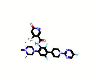 C[C@@H]1CN(c2cc(F)c(C3=CCN(c4ncc(F)cn4)CC3)c(F)c2NC(=O)c2c[nH]c(=O)cc2C(F)(F)F)C[C@H](C)N1C